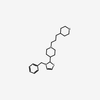 C1=CN(Cc2ccccc2)C(C2CCN(CCCC3CC[N]CC3)CC2)S1